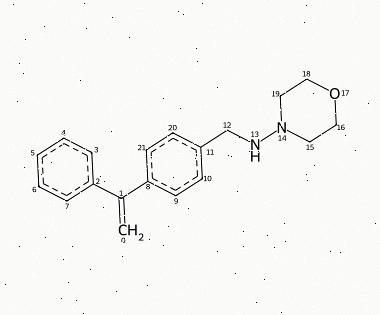 C=C(c1ccccc1)c1ccc(CNN2CCOCC2)cc1